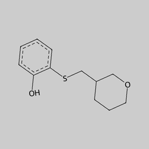 Oc1ccccc1SCC1CCCOC1